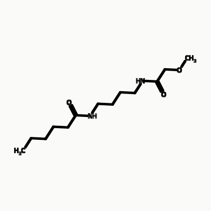 CCCCCC(=O)NCCCCNC(=O)COC